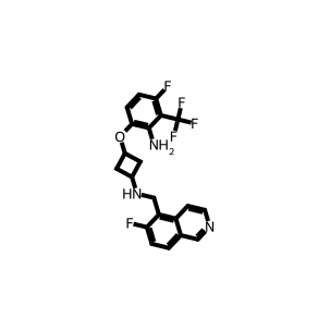 Nc1c(OC2CC(NCc3c(F)ccc4cnccc34)C2)ccc(F)c1C(F)(F)F